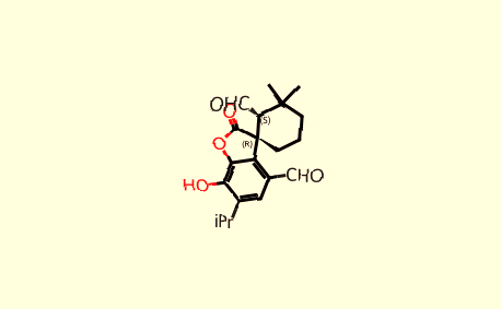 CC(C)c1cc(C=O)c2c(c1O)OC(=O)[C@@]21CCCC(C)(C)[C@@H]1C=O